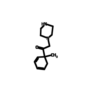 CC1(C(=O)CN2CCNCC2)C=CC=CC1